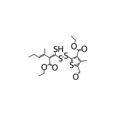 CC/C=C(C)/C(C(=O)OCC)=C(\S)SSc1sc(C=O)c(C)c1C(=O)OCC